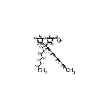 CC#CC#CC#CC#C[Si]1(CCCCCCCC)c2ccsc2-c2sc(C=O)cc21